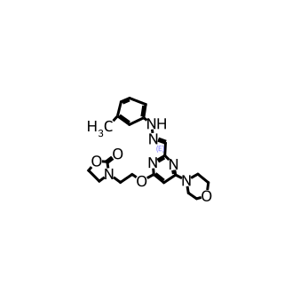 Cc1cccc(N/N=C/c2nc(OCCN3CCOC3=O)cc(N3CCOCC3)n2)c1